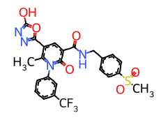 Cc1c(-c2nnc(O)o2)cc(C(=O)NCc2ccc(S(C)(=O)=O)cc2)c(=O)n1-c1cccc(C(F)(F)F)c1